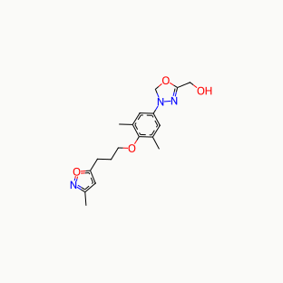 Cc1cc(CCCOc2c(C)cc(N3COC(CO)=N3)cc2C)on1